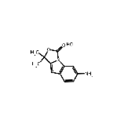 CC1(C)OC(=O)n2c1cc1ccc(N)cc12.Cl